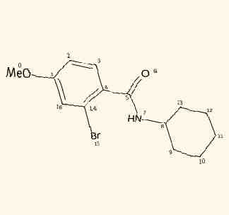 COc1ccc(C(=O)NC2CCCCC2)c(Br)c1